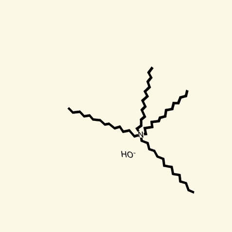 CCCCCCCCCCCCCC[N+](CCCCCCCCCCCCCC)(CCCCCCCCCCCCCC)CCCCCCCCCCCCCC.[OH-]